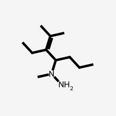 CCCC(C(CC)=C(C)C)N(C)N